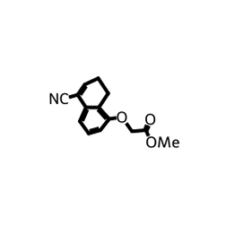 COC(=O)COc1cccc2c1CCC=C2C#N